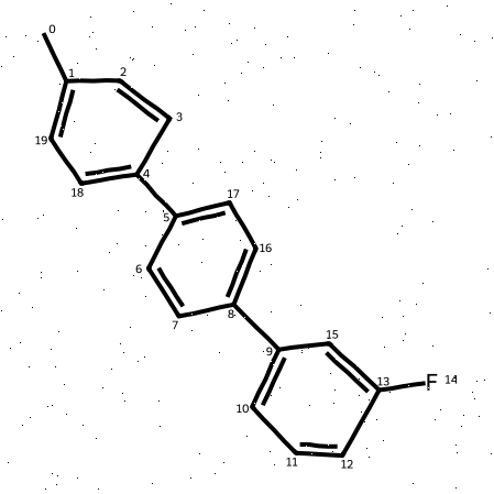 Cc1ccc(-c2ccc(-c3cccc(F)c3)cc2)cc1